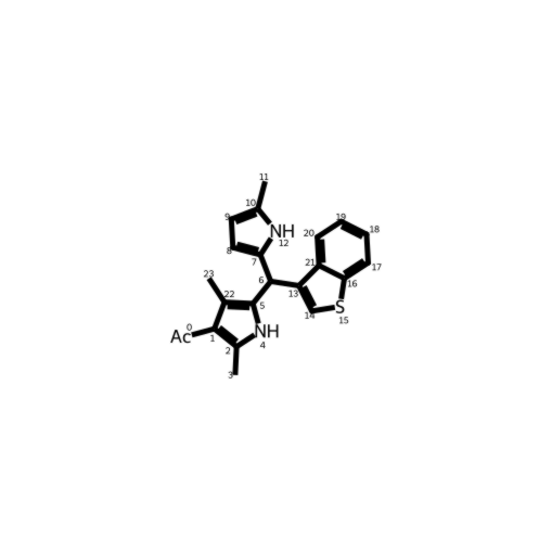 CC(=O)c1c(C)[nH]c(C(c2ccc(C)[nH]2)c2csc3ccccc23)c1C